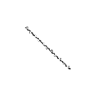 C=COCCOCCOCCOCCOCCOCCOCCOCCOCCOCCOC